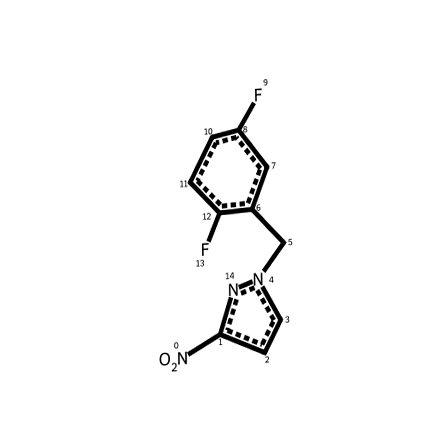 O=[N+]([O-])c1ccn(Cc2cc(F)ccc2F)n1